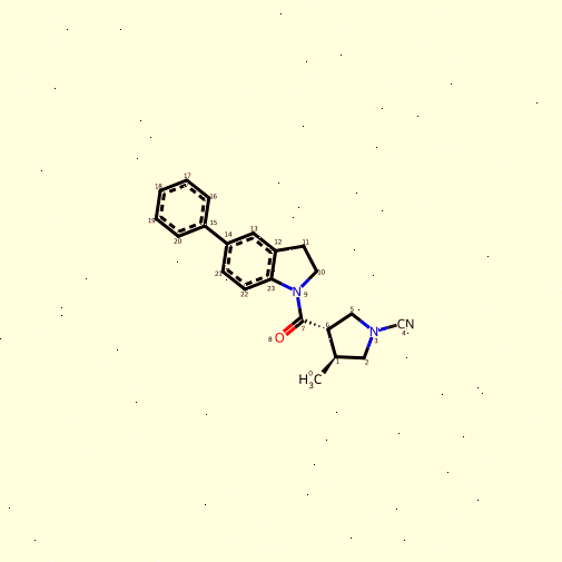 C[C@@H]1CN(C#N)C[C@H]1C(=O)N1CCc2cc(-c3ccccc3)ccc21